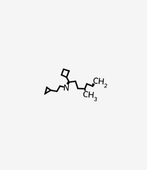 C=CCC(C)CC/C(=N/CCC1CC1)C1CCC1